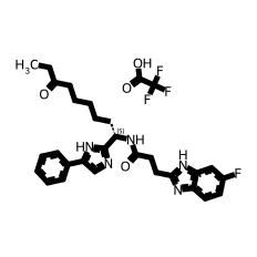 CCC(=O)CCCCC[C@H](NC(=O)CCc1nc2ccc(F)cc2[nH]1)c1ncc(-c2ccccc2)[nH]1.O=C(O)C(F)(F)F